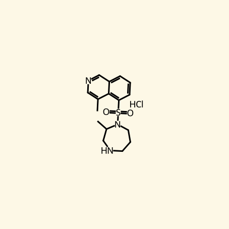 Cc1cncc2cccc(S(=O)(=O)N3CCCNCC3C)c12.Cl